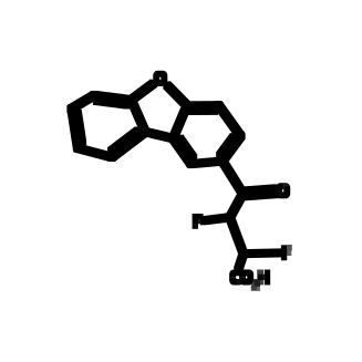 O=C(O)C(F)C(F)C(=O)c1ccc2oc3ccccc3c2c1